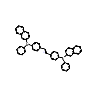 C(=C\c1ccc(B(c2ccccc2)c2ccc3ccccc3c2)cc1)/c1ccc(B(c2ccccc2)c2ccc3ccccc3c2)cc1